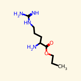 CCCOC(=O)C(N)CCCNC(=N)N